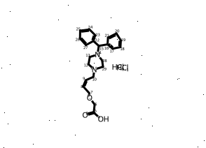 Cl.Cl.O=C(O)COC/C=C\CN1CCN(C(c2ccccc2)c2ccccc2)CC1